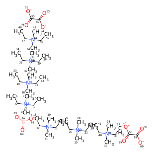 CC[N+](C)(C)CC.CC[N+](C)(C)CC.CC[N+](C)(C)CC.CC[N+](C)(C)CC.CC[N+](C)(C)CC.CC[N+](C)(C)CC.CC[N+](C)(C)CC.O=C([O-])C(=O)[O-].O=C([O-])C(=O)[O-].[O-]B([O-])[O-]